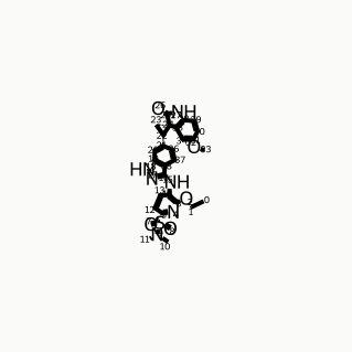 CCOc1nc(S(=O)(=O)N(C)C)ccc1Nc1n[nH]c2cc([C@@H]3C[C@@]34C(=O)Nc3ccc(OC)cc34)ccc12